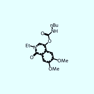 CCCCNC(=O)Oc1cn(CC)c(=O)c2cc(OC)c(OC)cc12